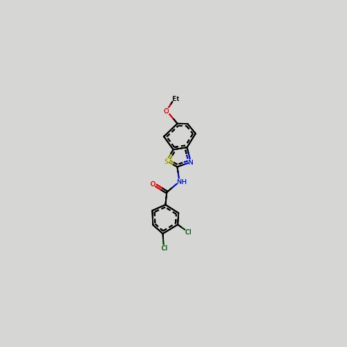 CCOc1ccc2nc(NC(=O)c3ccc(Cl)c(Cl)c3)sc2c1